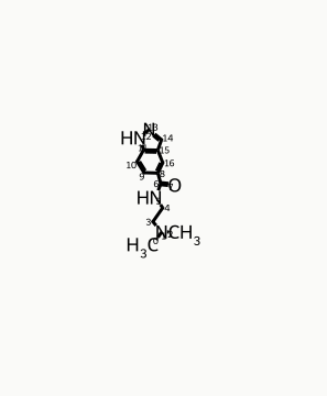 CN(C)CCNC(=O)c1ccc2[nH]ncc2c1